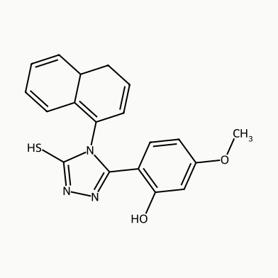 COc1ccc(-c2nnc(S)n2C2=C3C=CC=CC3CC=C2)c(O)c1